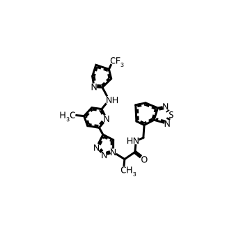 Cc1cc(Nc2cc(C(F)(F)F)ccn2)nc(-c2cn(C(C)C(=O)NCc3cccc4nsnc34)nn2)c1